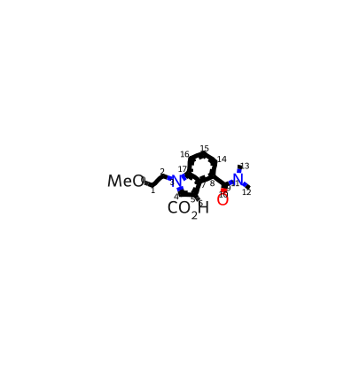 COCCn1cc(C(=O)O)c2c(C(=O)N(C)C)cccc21